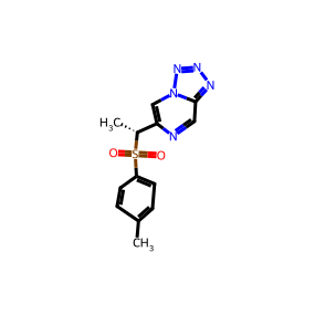 Cc1ccc(S(=O)(=O)[C@H](C)c2cn3nnnc3cn2)cc1